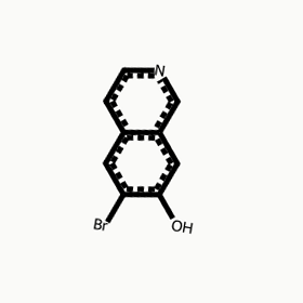 Oc1cc2cnccc2cc1Br